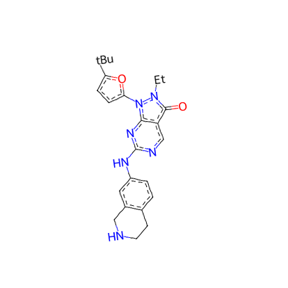 CCn1c(=O)c2cnc(Nc3ccc4c(c3)CNCC4)nc2n1-c1ccc(C(C)(C)C)o1